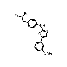 CCN(CC)Cc1ccc(Nc2ncc(-c3cccc(OC)c3)o2)cc1